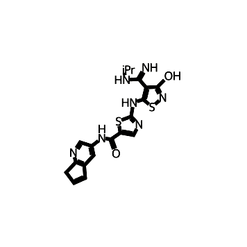 CC(C)NC(=N)c1c(O)nsc1Nc1ncc(C(=O)Nc2cnc3c(c2)C=CC3)s1